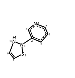 C1=CSN(c2cccnc2)N1